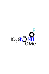 CO[C@H]1CN(C(=O)O)CC[C@H]1Nc1ccc(F)cc1